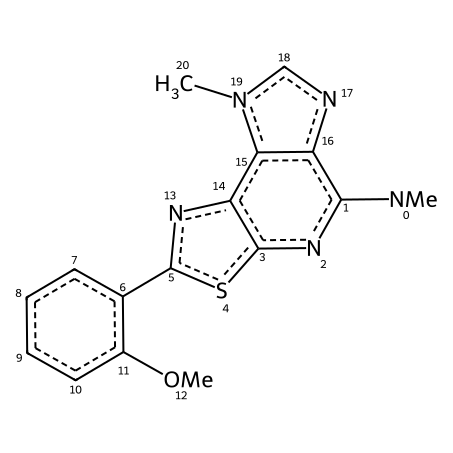 CNc1nc2sc(-c3ccccc3OC)nc2c2c1ncn2C